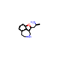 C=C(N)Cc1oc2cccc3c2c1CNCC3